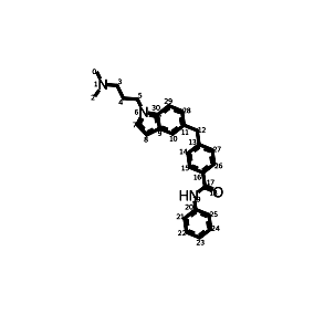 CN(C)CCCn1ccc2cc(Cc3ccc(C(=O)Nc4ccccc4)cc3)ccc21